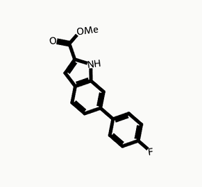 COC(=O)c1cc2ccc(-c3ccc(F)cc3)cc2[nH]1